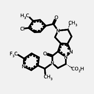 Cc1cc(C(=O)N2Cc3c(nn4c3C(=O)N(C(C)c3ccc(C(F)(F)F)nc3)C[C@H]4C(=O)O)C[C@H]2C)ccc1Cl